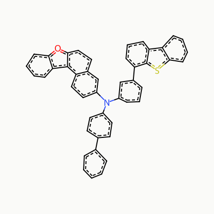 c1ccc(-c2ccc(N(c3cccc(-c4cccc5c4sc4ccccc45)c3)c3ccc4c(ccc5oc6ccccc6c54)c3)cc2)cc1